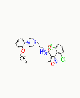 Cc1onc(-c2c(Cl)cccc2Cl)c1C(=O)NCCCN1CCN(c2ccccc2OCC(F)(F)F)CC1